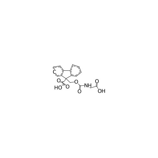 O=C(O)CNC(=O)OCC1(S(=O)(=O)O)c2ccccc2-c2ccccc21